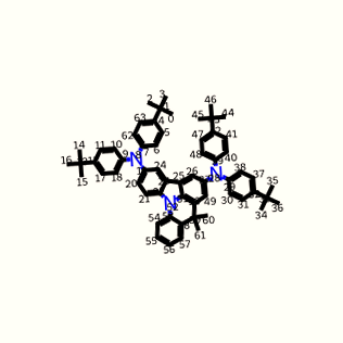 CC(C)(C)c1ccc(N(c2ccc(C(C)(C)C)cc2)c2ccc3c(c2)c2cc(N(c4ccc(C(C)(C)C)cc4)c4ccc(C(C)(C)C)cc4)cc4c2n3-c2ccccc2C4(C)C)cc1